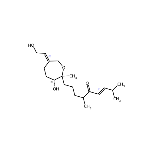 CC(C)/C=C/C(=O)C(C)CCCC1(C)OC/C(=C/CO)CC[C@H]1O